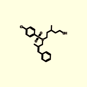 CC(=Cc1ccccc1)CN(CCC(C)CCO)S(=O)(=O)c1ccc(Cl)cc1